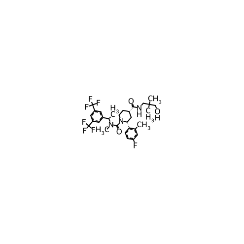 Cc1cc(F)ccc1[C@H]1C[C@@H](C(=O)NCC(C)(C)CO)CCN1C(=O)N(C)[C@H](C)c1cc(C(F)(F)F)cc(C(F)(F)F)c1